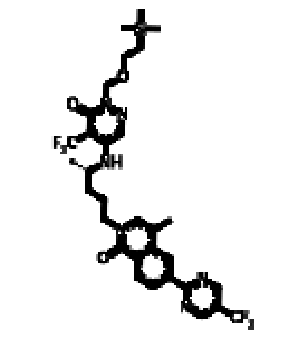 Cc1cn(CCC[C@H](C)Nc2cnn(COCC[Si](C)(C)C)c(=O)c2C(F)(F)F)c(=O)c2ccc(-c3ncc(C(F)(F)F)cn3)cc12